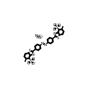 Cc1ccc2sc(-c3ccc(N=Nc4ccc(-c5nc6c(S(=O)(=O)[O-])c(C)ccc6s5)cc4)cc3)nc2c1S(=O)(=O)[O-].[Na+].[Na+]